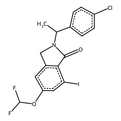 CC(c1ccc(Cl)cc1)N1Cc2cc(OC(F)F)cc(I)c2C1=O